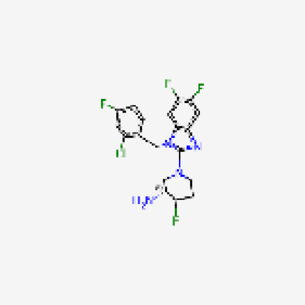 N[C@@H]1CN(c2nc3cc(F)c(F)cc3n2Cc2ccc(F)cc2Cl)CCC1F